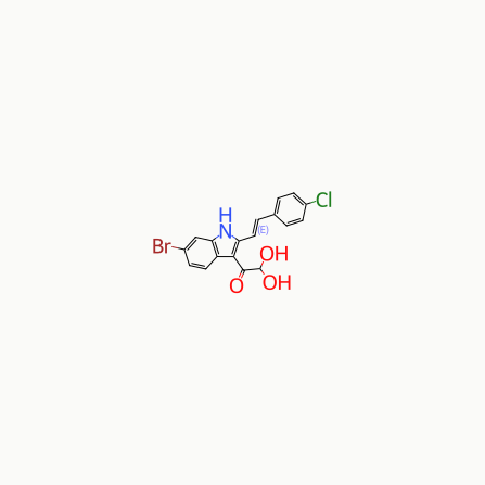 O=C(c1c(/C=C/c2ccc(Cl)cc2)[nH]c2cc(Br)ccc12)C(O)O